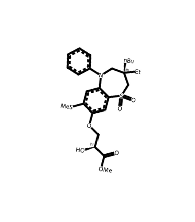 CCCC[C@]1(CC)CN(c2ccccc2)c2cc(SC)c(OC[C@H](O)C(=O)OC)cc2S(=O)(=O)C1